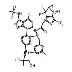 Cn1nc(NS(C)(=O)=O)c2c(Cl)ccc(-c3ccc(C#CC(C)(O)CO)nc3[C@H](Cc3cc(F)cc(F)c3)NC(=O)Cn3nc(C(F)(F)F)c4c3C(F)(F)C3C[C@H]43)c21